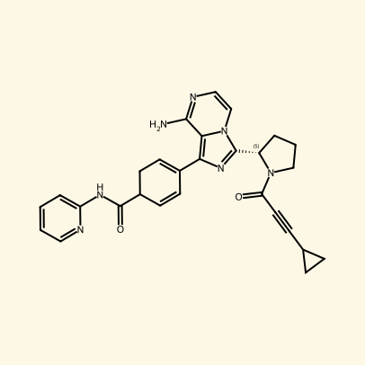 Nc1nccn2c([C@@H]3CCCN3C(=O)C#CC3CC3)nc(C3=CCC(C(=O)Nc4ccccn4)C=C3)c12